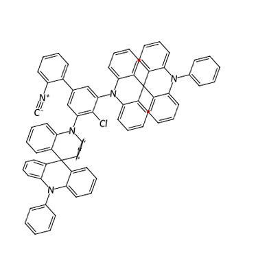 [C-]#[N+]c1ccccc1-c1cc(N2c3ccccc3C3(c4ccccc4N(c4ccccc4)c4ccccc43)c3ccccc32)c(Cl)c(N2c3ccccc3C3(c4ccccc4N(c4ccccc4)c4ccccc43)c3ccccc32)c1